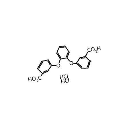 Cl.Cl.O=C(O)c1cccc(Oc2ccccc2Oc2cccc(C(=O)O)c2)c1